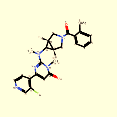 COc1ccccc1C(=O)N1C[C@@H]2C(N(C)c3nc(-c4ccncc4F)cc(=O)n3C)[C@@H]2C1